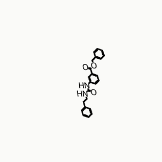 O=C(NCCc1ccccc1)Nc1cccc(C(=O)OCc2ccccc2)c1